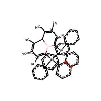 N#CC(C#N)=C(C#N)C(B([C](=C(C#N)C#N)[Sn]([c]1ccccc1)([c]1ccccc1)[c]1ccccc1)[C](=C(C#N)C#N)[Sn]([c]1ccccc1)([c]1ccccc1)[c]1ccccc1)C(C#N)=C(C#N)C#N